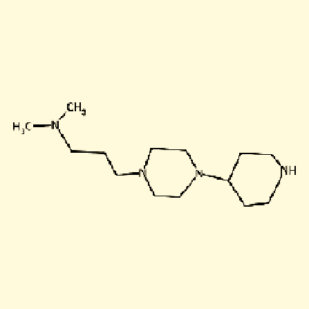 CN(C)CCCN1CCN(C2CCNCC2)CC1